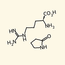 N=C(N)NCCC[C@H](N)C(=O)O.O=C1CCCN1